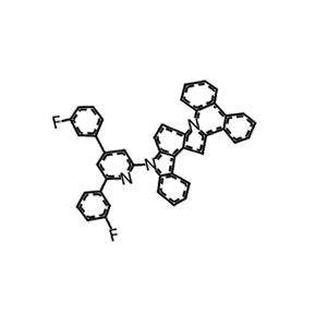 Fc1cccc(-c2cc(-c3cccc(F)c3)nc(-n3c4ccccc4c4c5cc6c7ccccc7c7ccccc7n6c5ccc43)c2)c1